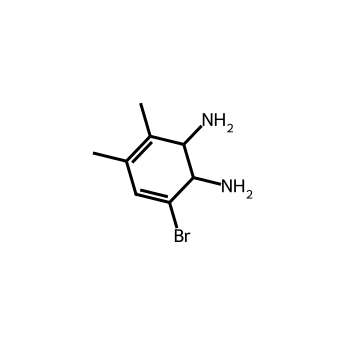 CC1=C(C)C(N)C(N)C(Br)=C1